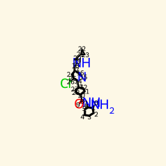 Nc1ccccc1NC(=O)c1ccc(-c2ncc(CNCC3CC3)cc2Cl)cc1